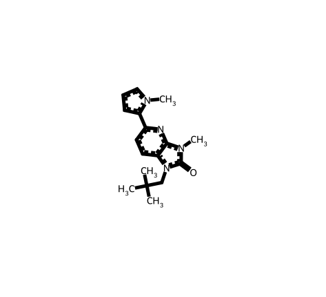 Cn1cccc1-c1ccc2c(n1)n(C)c(=O)n2CC(C)(C)C